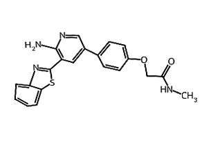 CNC(=O)COc1ccc(-c2cnc(N)c(-c3nc4ccccc4s3)c2)cc1